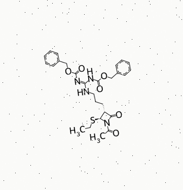 CCS[C@H]1[C@H](CCCNC(=NC(=O)OCc2ccccc2)NC(=O)OCc2ccccc2)C(=O)N1C(C)=O